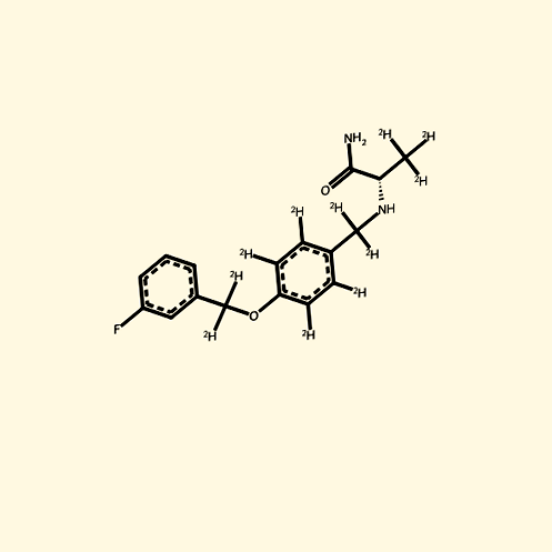 [2H]c1c([2H])c(C([2H])([2H])N[C@H](C(N)=O)C([2H])([2H])[2H])c([2H])c([2H])c1OC([2H])([2H])c1cccc(F)c1